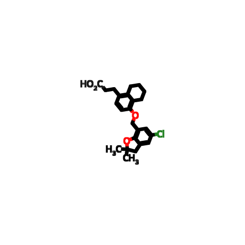 CC1(C)Cc2cc(Cl)cc(COc3ccc(CCC(=O)O)c4c3CCCC4)c2O1